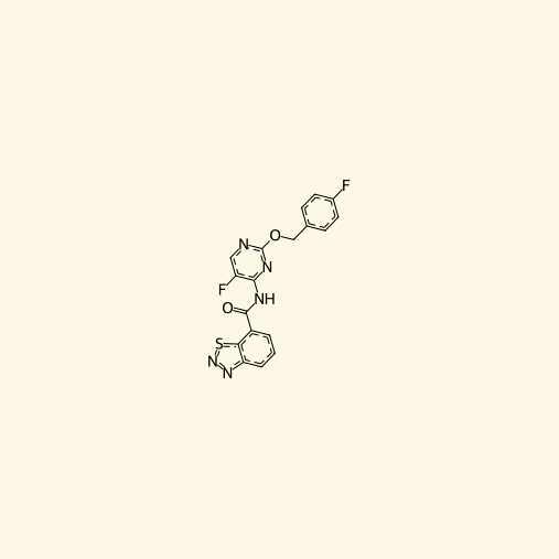 O=C(Nc1nc(OCc2ccc(F)cc2)ncc1F)c1cccc2nnsc12